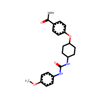 CNC(=O)c1ccc(OC2CCC(NC(=O)Nc3ccc(OC(F)(F)F)cc3)CC2)cc1